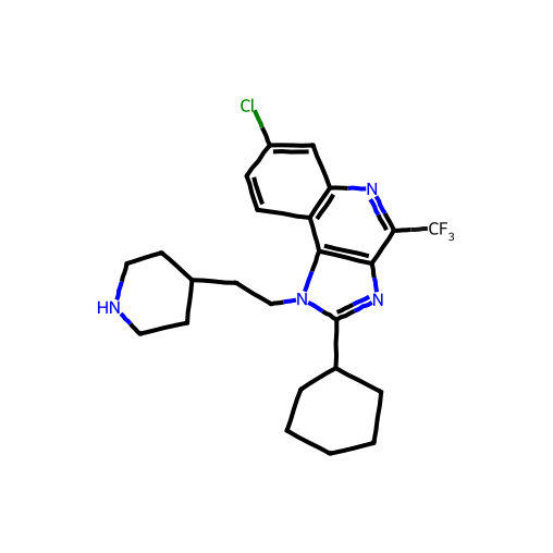 FC(F)(F)c1nc2cc(Cl)ccc2c2c1nc(C1CCCCC1)n2CCC1CCNCC1